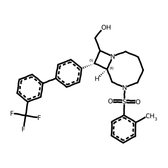 Cc1ccccc1S(=O)(=O)N1CCCCN2C(CO)[C@@H](c3ccc(-c4cccc(C(F)(F)F)c4)cc3)[C@@H]2C1